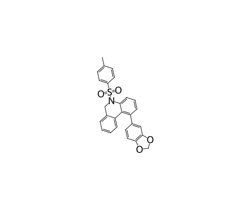 Cc1ccc(S(=O)(=O)N2Cc3ccccc3-c3c(-c4ccc5c(c4)OCO5)cccc32)cc1